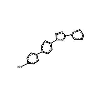 CCCCc1ccc(-c2ccc(-c3nnc(-c4ccccc4)o3)cc2)cc1